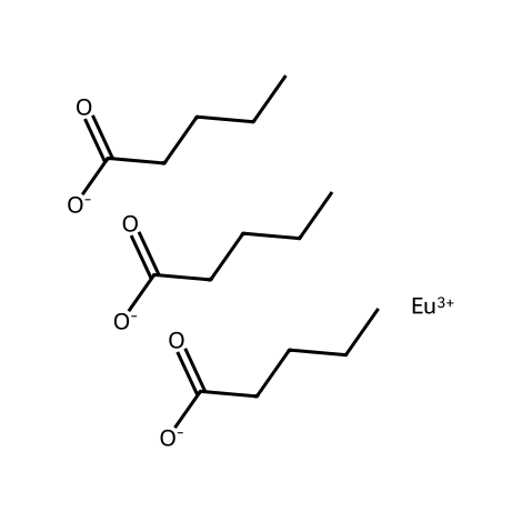 CCCCC(=O)[O-].CCCCC(=O)[O-].CCCCC(=O)[O-].[Eu+3]